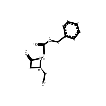 O=C(OCc1ccccc1)ON1C(=O)C[C@@H]1CBr